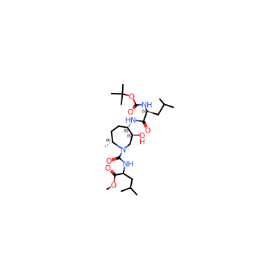 COC(=O)C(CC(C)C)NC(=O)N1C[C@H](O)[C@@H](NC(=O)[C@H](CC(C)C)NC(=O)OC(C)(C)C)CC[C@H]1C